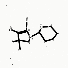 CC1(C)CN(C2CCCCO2)C(F)=C1Cl